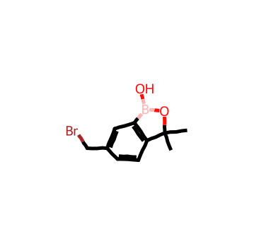 CC1(C)OB(O)c2cc(CBr)ccc21